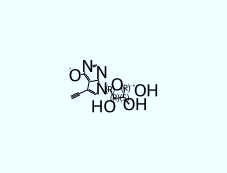 C#Cc1cn([C@@H]2O[C@H](CO)[C@@H](O)[C@H]2O)c2ncnc(OC)c12